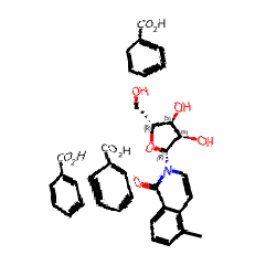 Cc1cccc2c(=O)n([C@@H]3O[C@H](CO)[C@@H](O)[C@H]3O)ccc12.O=C(O)c1ccccc1.O=C(O)c1ccccc1.O=C(O)c1ccccc1